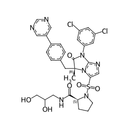 C[C@@]1(Cc2ccc(-c3cncnc3)cc2)C(=O)N(c2cc(Cl)cc(Cl)c2)c2ncc(S(=O)(=O)N3CCC[C@H]3C(=O)NCC(O)CO)n21